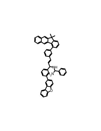 CC1(C)c2cc3ccccc3cc2-c2c(-c3cccc(/C=C/C(NC(N)c4ccccc4)c4cccc(-c5ccc6oc7ccccc7c6c5)c4)c3)cccc21